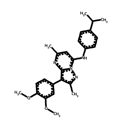 COc1ccc(-c2c(C)nn3c(Nc4ccc(C(C)C)cc4)cc(C)nc23)cc1OC